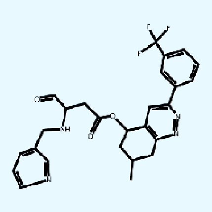 CC1Cc2nnc(-c3cccc(C(F)(F)F)c3)cc2C(OC(=O)CC(C=O)NCc2cccnc2)C1